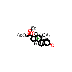 CCC(=O)O[C@]1(C(=O)COC(C)=O)CC[C@H]2[C@@H]3CCC4=CC(=O)C=C[C@]4(C)[C@@]3(F)[C@@H](OC(C)=O)C[C@@]21C